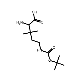 CC(C)(C)OC(=O)NCCC(C)(C)C(N)C(=O)O